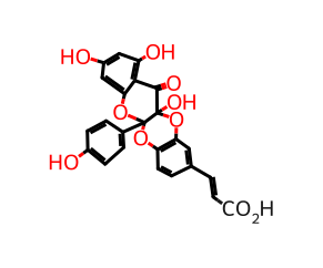 O=C(O)/C=C/c1ccc2c(c1)OC1(O)C(=O)c3c(O)cc(O)cc3OC1(c1ccc(O)cc1)O2